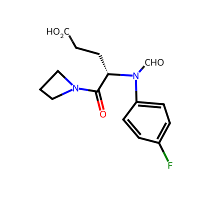 O=CN(c1ccc(F)cc1)[C@@H](CCC(=O)O)C(=O)N1CCC1